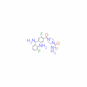 Nc1c(F)cccc1C(N)c1ccc(C(=O)N2CCN(C(=O)C3(N)CC3)CC2)c(F)c1